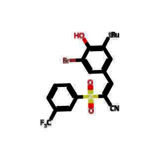 CC(C)(C)c1cc(C=C(C#N)S(=O)(=O)c2cccc(C(F)(F)F)c2)cc(Br)c1O